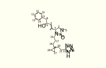 CN1C[C@H](C=CC(O)Cc2ccccc2)N(CCCC2(CCc3nnn[nH]3)CC2)C1=O